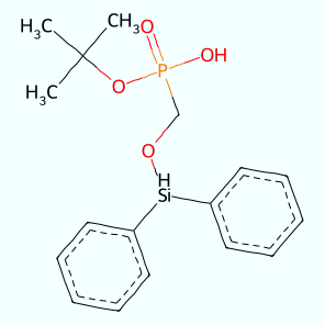 CC(C)(C)OP(=O)(O)CO[SiH](c1ccccc1)c1ccccc1